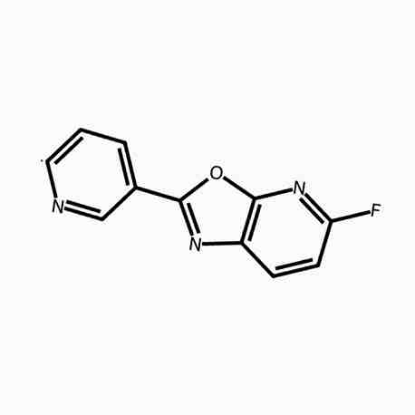 Fc1ccc2nc(-c3cc[c]nc3)oc2n1